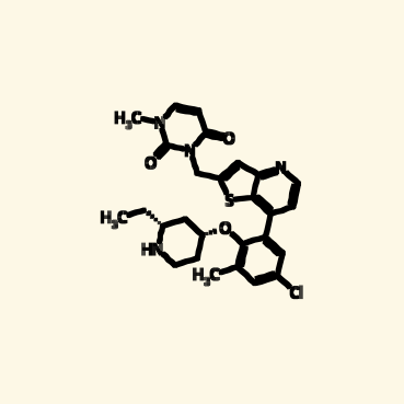 CC[C@@H]1C[C@H](Oc2c(C)cc(Cl)cc2-c2ccnc3cc(Cn4c(=O)ccn(C)c4=O)sc23)CCN1